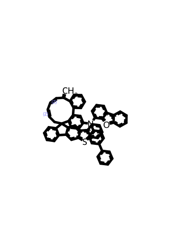 C=C1/C=C\C=C/CC2(c3ccc(N(c4ccc(-c5ccccc5)cc4)c4cccc5c4oc4ccccc45)cc3-c3ccccc31)c1ccccc1-c1cc3sc4ccccc4c3cc12